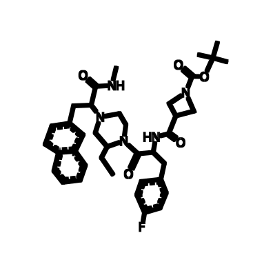 CCC1CN(C(Cc2ccc3ccccc3c2)C(=O)NC)CCN1C(=O)C(Cc1ccc(F)cc1)NC(=O)C1CN(C(=O)OC(C)(C)C)C1